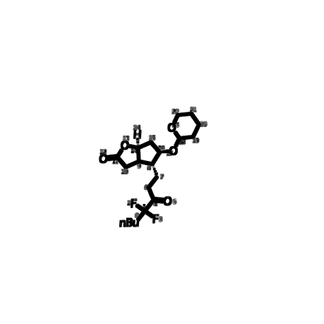 CCCCC(F)(F)C(=O)CC[C@@H]1C2CC(=O)O[C@H]2C[C@H]1OC1CCCCO1